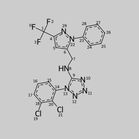 FC(F)(F)c1cc(CNc2nnnn2-c2cccc(Cl)c2Cl)n(-c2ccccc2)n1